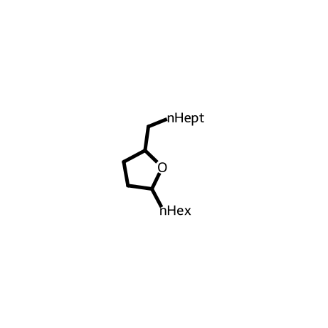 CCCCCCCCC1CCC(CCCCCC)O1